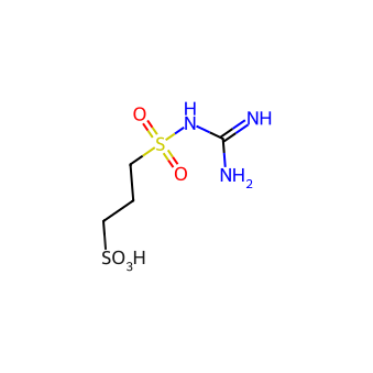 N=C(N)NS(=O)(=O)CCCS(=O)(=O)O